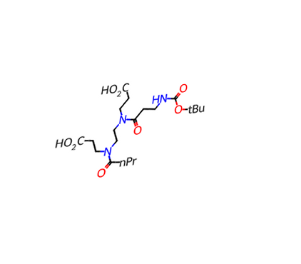 CCCC(=O)N(CCC(=O)O)CCN(CCC(=O)O)C(=O)CCNC(=O)OC(C)(C)C